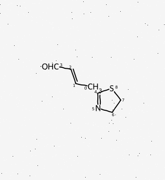 CC=C[C]=O.[C]1=NCCS1